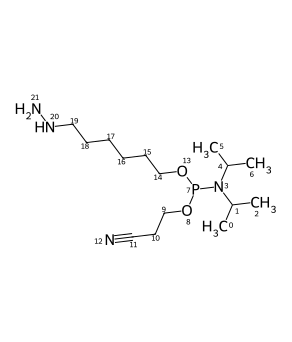 CC(C)N(C(C)C)P(OCCC#N)OCCCCCCNN